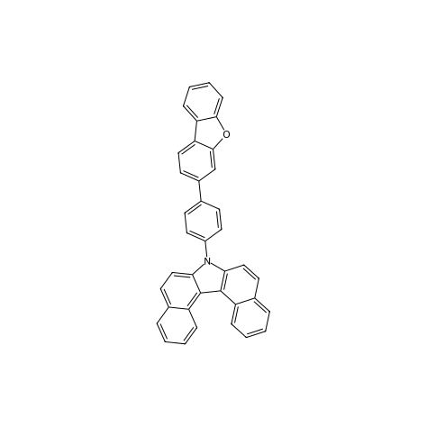 c1ccc2c(c1)ccc1c2c2c3ccccc3ccc2n1-c1ccc(-c2ccc3c(c2)oc2ccccc23)cc1